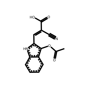 CC(=O)Oc1c(C=C(C#N)C(=O)O)[nH]c2ccccc12